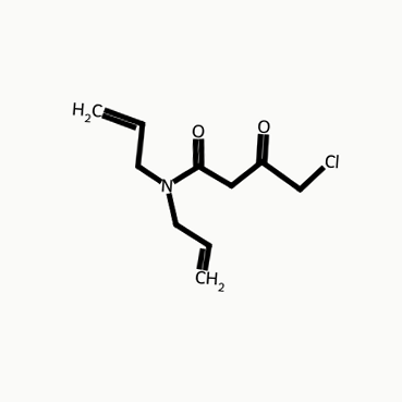 C=CCN(CC=C)C(=O)CC(=O)CCl